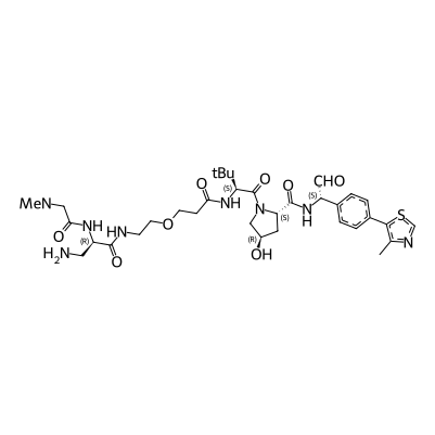 CNCC(=O)N[C@H](CN)C(=O)NCCOCCC(=O)N[C@H](C(=O)N1C[C@H](O)C[C@H]1C(=O)N[C@H](C=O)c1ccc(-c2scnc2C)cc1)C(C)(C)C